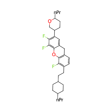 CCCC1CCC(CCc2ccc3c(c2F)Oc2c(cc(C4CCC(CCC)OC4)c(F)c2F)C3)CC1